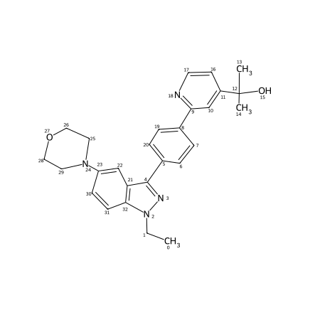 CCn1nc(-c2ccc(-c3cc(C(C)(C)O)ccn3)cc2)c2cc(N3CCOCC3)ccc21